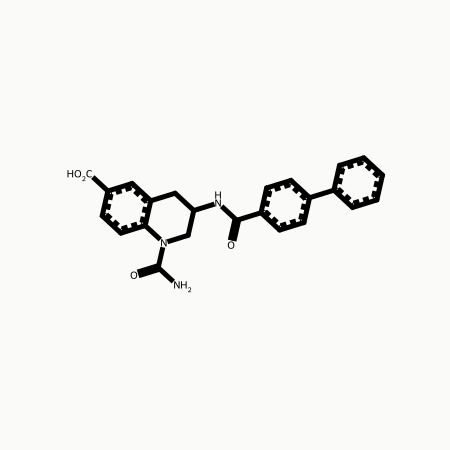 NC(=O)N1CC(NC(=O)c2ccc(-c3ccccc3)cc2)Cc2cc(C(=O)O)ccc21